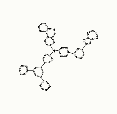 c1ccc(-c2cc(-c3ccccc3)cc(-c3ccc(N(c4ccc(-c5cccc(-c6cc7ccccc7o6)c5)cc4)c4ccc5c(ccc6ccccc65)c4)cc3)c2)cc1